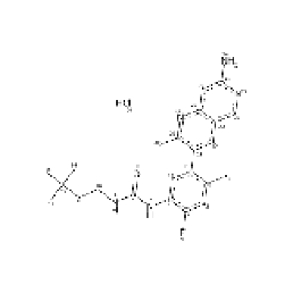 Cc1cc(F)c(NC(=O)NCCC(C)(C)C)cc1-c1cc2cnc(N)cc2nc1C.Cl